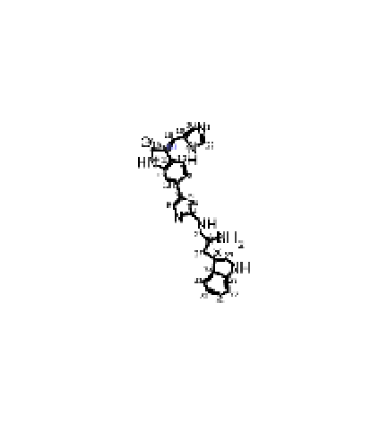 N[C@H](CNc1ncc(-c2ccc3c(c2)NC(=O)/C3=C/c2cnc[nH]2)s1)Cc1c[nH]c2ccccc12